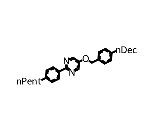 CCCCCCCCCCc1ccc(COc2cnc(-c3ccc(CCCCC)cc3)nc2)cc1